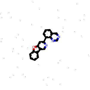 c1cc(-c2cc3oc4ccccc4c3cn2)c2ncncc2c1